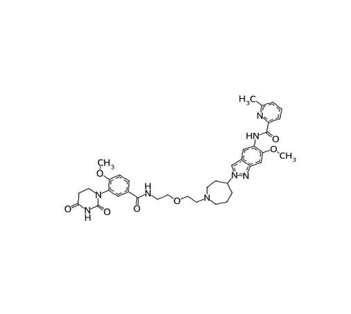 COc1cc2nn(C3CCCN(CCOCCNC(=O)c4ccc(OC)c(N5CCC(=O)NC5=O)c4)CC3)cc2cc1NC(=O)c1cccc(C)n1